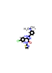 CN(C)c1cccc(-c2nc(C(=O)Nc3nccs3)c(-c3ccc(Cl)cc3)[nH]2)c1